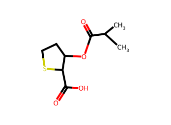 CC(C)C(=O)OC1CCSC1C(=O)O